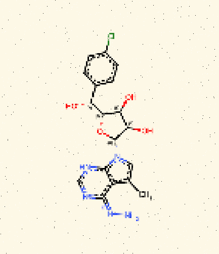 Cc1cn([C@@H]2O[C@H]([C@H](O)c3ccc(Cl)cc3)[C@@H](O)[C@H]2O)c2[nH]cn/c(=N/N)c12